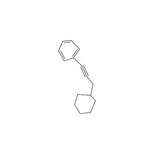 C(#Cc1ccccc1)C[C]1CCCCC1